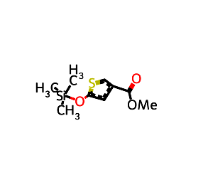 COC(=O)c1csc(O[Si](C)(C)C)c1